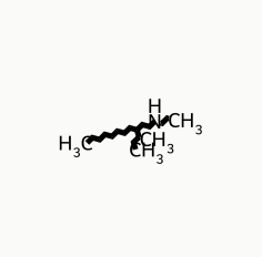 CCCCCCCCC(CCNCCC)C(C)CC